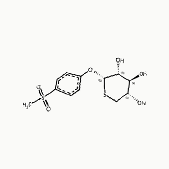 CS(=O)(=O)c1ccc(O[C@H]2SC[C@@H](O)[C@H](O)[C@H]2O)cc1